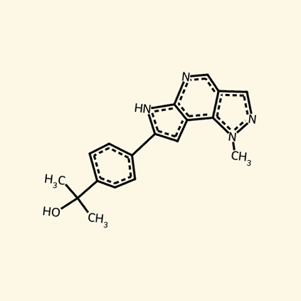 Cn1ncc2cnc3[nH]c(-c4ccc(C(C)(C)O)cc4)cc3c21